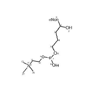 CCCCCCCCCC(O)CCCOP(O)OCC[N+](C)(C)C